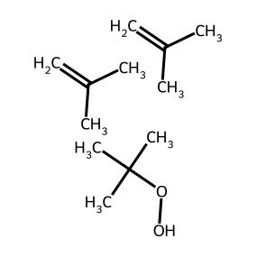 C=C(C)C.C=C(C)C.CC(C)(C)OO